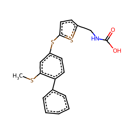 CSc1cc(Sc2ccc(CNC(=O)O)s2)ccc1-c1ccccc1